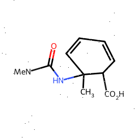 CNC(=O)NC1(C)C=CC=CC1C(=O)O